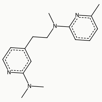 Cc1cccc(N(C)CCc2ccnc(N(C)C)c2)n1